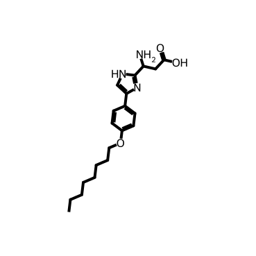 CCCCCCCCOc1ccc(-c2c[nH]c(C(N)CC(=O)O)n2)cc1